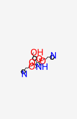 CC1=C(C(=O)OCCCc2cccnc2)C(c2ccc(CO)cc2)C(C(=O)OCCCc2cccnc2)=C(C)N1